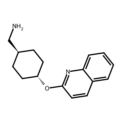 NC[C@H]1CC[C@H](Oc2ccc3ccccc3n2)CC1